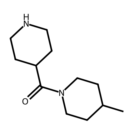 CC1CCN(C(=O)C2CCNCC2)CC1